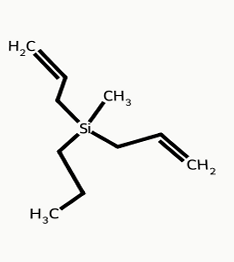 C=CC[Si](C)(CC=C)CCC